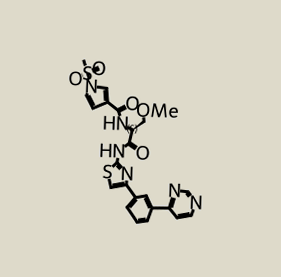 COC[C@H](NC(=O)c1ccn(S(C)(=O)=O)c1)C(=O)Nc1nc(-c2cccc(-c3ccncn3)c2)cs1